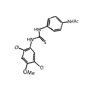 COc1cc([O])c(NC(=S)Nc2ccc(NC(C)=O)cc2)cc1Cl